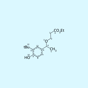 CCOC(=O)CCOC(C)c1ccc(O)c(C(C)(C)C)c1